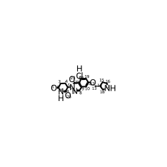 Cl.O=C1CCC(n2ncc3cc(OC[C@H]4CCNC4)ccc3c2=O)C(=O)N1